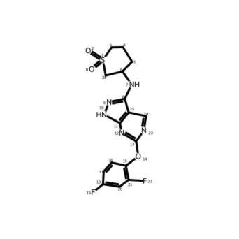 O=S1(=O)CCCC(Nc2n[nH]c3nc(Oc4ccc(F)cc4F)ncc23)C1